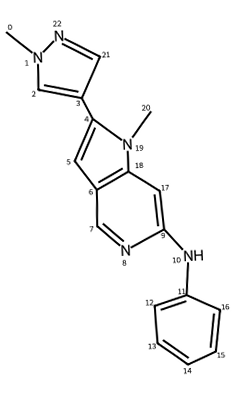 Cn1cc(-c2cc3cnc(Nc4ccccc4)cc3n2C)cn1